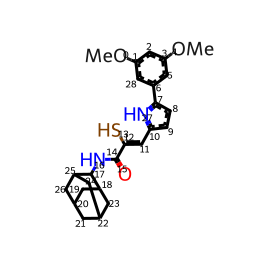 COc1cc(OC)cc(-c2ccc(/C=C(\S)C(=O)NC3C4CC5CC(C4)CC3C5)[nH]2)c1